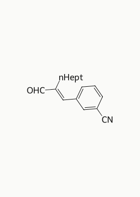 CCCCCCC/C(C=O)=C\c1cccc(C#N)c1